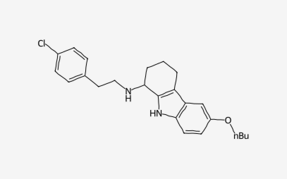 CCCCOc1ccc2[nH]c3c(c2c1)CCCC3NCCc1ccc(Cl)cc1